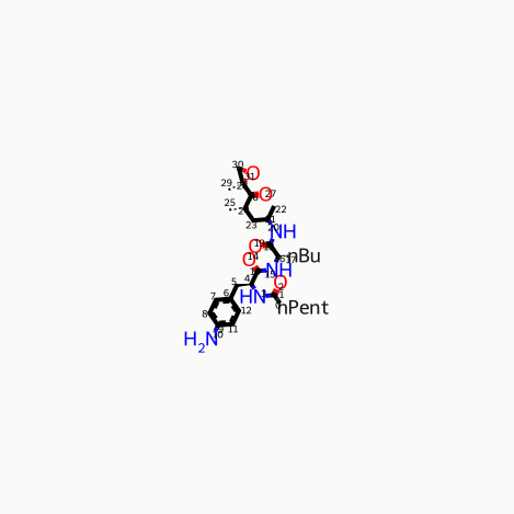 CCCCCC(=O)N[C@@H](Cc1ccc(N)cc1)C(=O)N[C@@H](CCCC)C(=O)NC(C)C[C@H](C)C(=O)[C@@]1(C)CO1